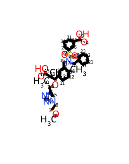 COCCn1cc(CO[C@H](c2ccc(C)c(CN(Cc3ccccc3)S(=O)(=O)c3cccc(C(=O)O)c3)c2)C(C)(C)C(=O)O)nn1